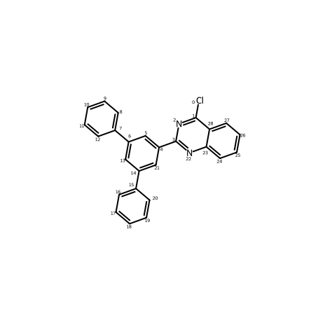 Clc1nc(-c2cc(-c3ccccc3)cc(-c3ccccc3)c2)nc2ccccc12